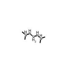 C[SiH](C)N[SiH2]N[SiH](C)C